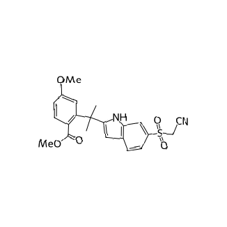 COC(=O)c1ccc(OC)cc1C(C)(C)c1cc2ccc(S(=O)(=O)CC#N)cc2[nH]1